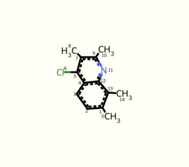 Cc1ccc2c(Cl)c(C)c(C)nc2c1C